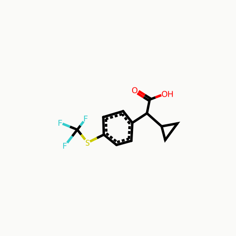 O=C(O)C(c1ccc(SC(F)(F)F)cc1)C1CC1